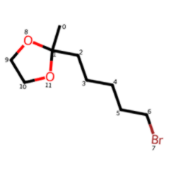 CC1(CCCCCBr)OCCO1